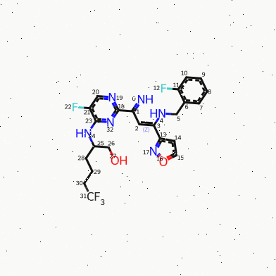 N=C(/C=C(\NCc1ccccc1F)c1ccon1)c1ncc(F)c(NC(CO)CCCC(F)(F)F)n1